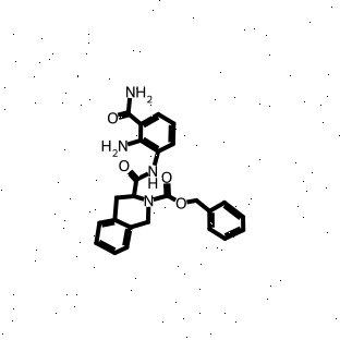 NC(=O)c1cccc(NC(=O)C2Cc3ccccc3CN2C(=O)OCc2ccccc2)c1N